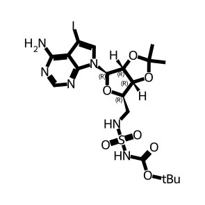 CC(C)(C)OC(=O)NS(=O)(=O)NC[C@H]1O[C@@H](n2cc(I)c3c(N)ncnc32)[C@@H]2OC(C)(C)O[C@@H]21